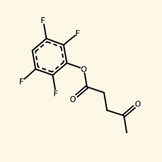 CC(=O)CCC(=O)Oc1c(F)c(F)cc(F)c1F